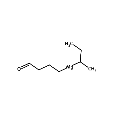 CC[CH](C)[Mg][CH2]CCC=O